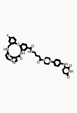 O=C1CCC(Nc2ccc(N3CCN(C(=O)CCCNC(=O)c4ccc5c(c4)NC(=O)c4cnn6ccc(nc46)NCc4cc(F)ccc4O5)CC3)cc2)C(=O)N1